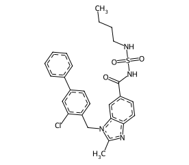 CCCCNS(=O)(=O)NC(=O)c1ccc2nc(C)n(Cc3ccc(-c4ccccc4)cc3Cl)c2c1